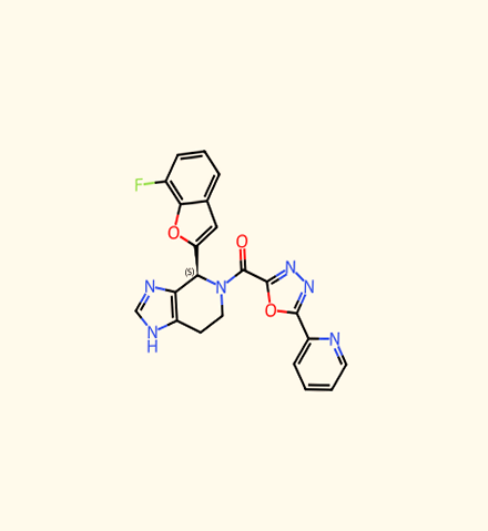 O=C(c1nnc(-c2ccccn2)o1)N1CCc2[nH]cnc2[C@H]1c1cc2cccc(F)c2o1